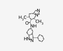 Cc1cc2cncn2c(C)c1C(=O)Nc1ccc2[nH]nc(-c3ccccc3)c2c1